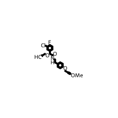 C#CCOC(C(=O)NCCc1ccc(OCC#COC)cc1)c1ccc(F)c(Cl)c1